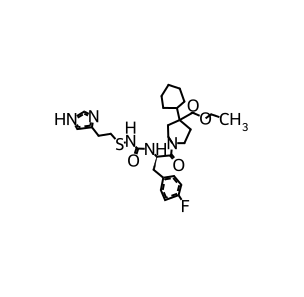 CCOC(=O)C1(C2CCCCC2)CCN(C(=O)[C@@H](Cc2ccc(F)cc2)NC(=O)NSCCc2c[nH]cn2)CC1